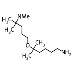 CNC(C)(C)CCCOC(C)(C)CCCCN